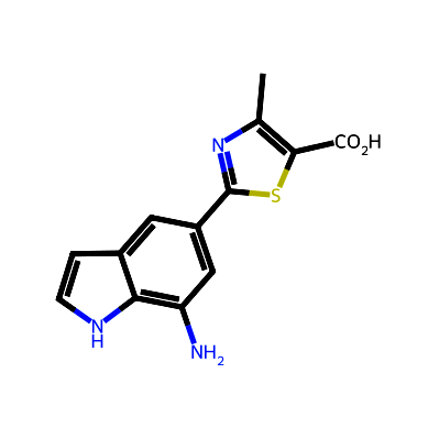 Cc1nc(-c2cc(N)c3[nH]ccc3c2)sc1C(=O)O